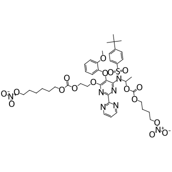 COc1ccccc1Oc1c(OCCOC(=O)OCCCCCCO[N+](=O)[O-])nc(-c2ncccn2)nc1N(C(C)OC(=O)OCCCCO[N+](=O)[O-])S(=O)(=O)c1ccc(C(C)(C)C)cc1